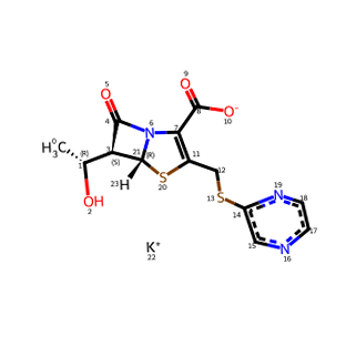 C[C@@H](O)[C@H]1C(=O)N2C(C(=O)[O-])=C(CSc3cnccn3)S[C@H]12.[K+]